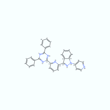 c1ccc(-c2nc(-c3ccccc3)nc(-c3cccc(-c4nn(-c5ccncc5)c5ccccc45)n3)n2)cc1